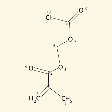 C=C(C)C(=O)OCOC(=O)Cl